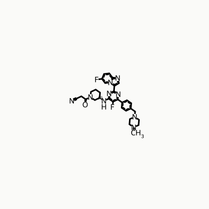 CN1CCN(Cc2ccc(-c3nc(-c4cnc5ccc(F)cn45)nc(N[C@@H]4CCCN(C(=O)CC#N)C4)c3F)cc2)CC1